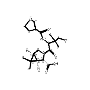 CC(C)(CO)C(NC(=O)C1CCOC1)C(=O)N1C[C@H]2[C@@H]([C@H]1C(=O)O)C2(C)C